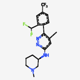 Cc1cc(N[C@@H]2CCCN(C)C2)nnc1-c1ccc(C(F)(F)F)cc1C(F)F